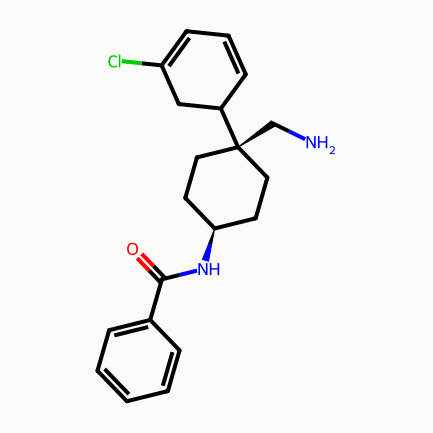 NC[C@]1(C2C=CC=C(Cl)C2)CC[C@H](NC(=O)c2ccccc2)CC1